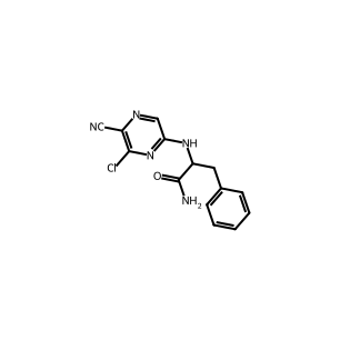 N#Cc1ncc(NC(Cc2ccccc2)C(N)=O)nc1Cl